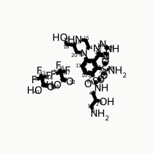 NCC(O)CNS(=O)(=O)c1ccc(N2CCNC(CO)C2)c(-c2nn[nH]n2)c1S(N)(=O)=O.O=C(O)C(F)(F)F.O=C(O)C(F)(F)F